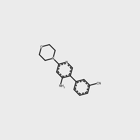 N#Cc1cccc(-c2cnc(N3CCOCC3)cc2N)c1